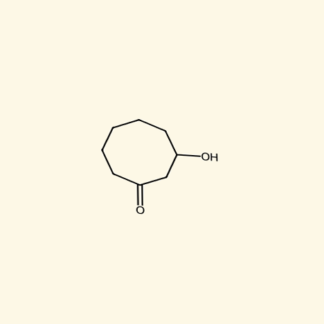 O=C1CCCCCC(O)C1